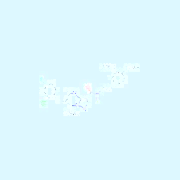 COc1ccc(CCNC(=O)c2cnn3c(OC)c(Cc4ccc(F)cc4Cl)c(C)nc23)cc1OC